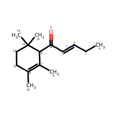 CC/C=C/C(=O)C1C(C)=C(C)CCC1(C)C